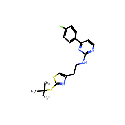 CC(C)(Sc1nc(CCNc2nccc(-c3ccc(F)cc3)n2)cs1)C(=O)O